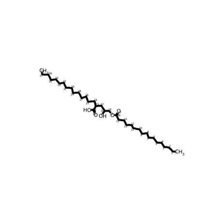 CCCCCCCCCCCCCCCCC(=O)OCC(O)CC(CCCCCCCCCCCCCCC)C(=O)O